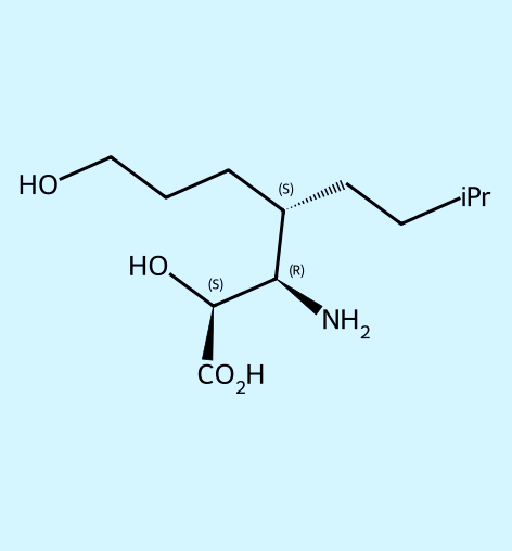 CC(C)CC[C@@H](CCCO)[C@@H](N)[C@H](O)C(=O)O